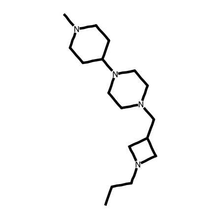 CCCN1CC(CN2CCN(C3CCN(C)CC3)CC2)C1